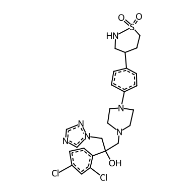 O=S1(=O)CCC(c2ccc(N3CCN(CC(O)(Cn4cncn4)c4ccc(Cl)cc4Cl)CC3)cc2)CN1